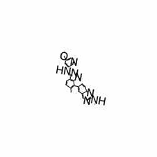 CNc1ncc2cc(-c3c(C)ccc4c(Nc5cncc(OC)c5)nn(C)c34)ccc2n1